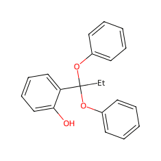 CCC(Oc1ccccc1)(Oc1ccccc1)c1ccccc1O